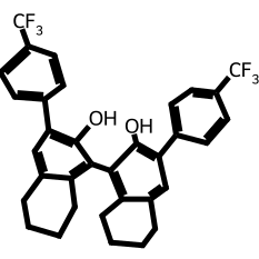 Oc1c(-c2ccc(C(F)(F)F)cc2)cc2c(c1-c1c(O)c(-c3ccc(C(F)(F)F)cc3)cc3c1CCCC3)CCCC2